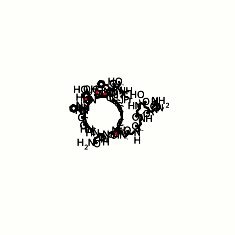 CC(C)C[C@@H](C=O)NN[C@H](C(=O)C(=O)[C@H](Cc1ccccc1)NN[C@]1(C)CCCCCC/C=C/CCC[C@@](C)(C(=O)CN[C@@H](C)C(=O)CCN[C@@H](C)C(=O)CCN[C@@H](C)C(=O)CCN[C@@H](C)C(=O)CCC(=O)[C@H](C)NCN(C)CC(N)=O)NC(=O)[C@H](CC(C)C)NC(=O)[C@H](CCC(N)=O)NCN[C@@H](C)C(=O)CC(=O)[C@H](Cc2c[nH]c3ccccc23)NN[C@@H](Cc2ccc(O)cc2)C(=O)N[C@@H](CCC(=O)O)C(=O)C1=O)[C@@H](C)O